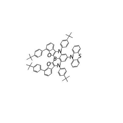 CC(C)(C)c1ccc(-c2cccc3c4c(oc23)B2c3oc5c(-c6ccc(C(C)(C)C)cc6)cccc5c3N(c3ccc(C(C)(C)C)cc3)c3cc(N5c6ccccc6Sc6ccccc65)cc(c32)N4c2ccc(C(C)(C)C)cc2)cc1